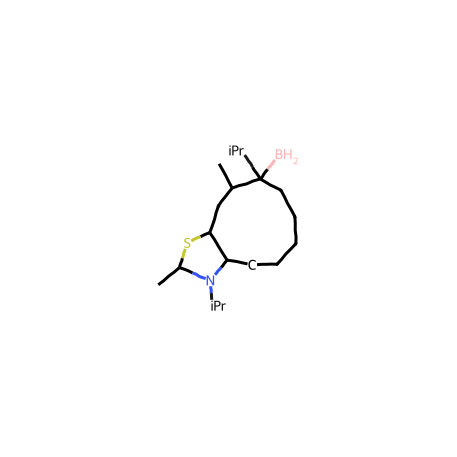 BC1(C(C)C)CCCCCC2C(CC1C)SC(C)N2C(C)C